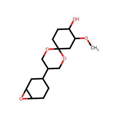 COC1CC2(CCC1O)OCC(C1CCC3OC3C1)CO2